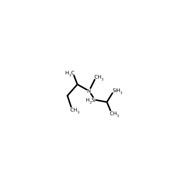 CCC(C)N(C)[SiH2]C(C)[SiH3]